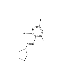 CC(=O)c1cc(I)cc(F)c1N=NN1CCCC1